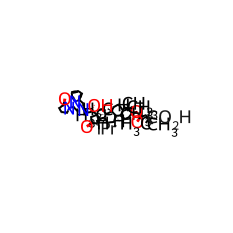 CC(C)C1=C2[C@H]3CC[C@@H]4[C@@]5(C)CC[C@H](OC(=O)CC(C)(C)C(=O)O)C(C)(C)[C@H]5CC[C@@]4(C)[C@]3(C)CC[C@@]2([C@@H](O)CN(CCN2CCCC2=O)Cc2ccccn2)CC1=O